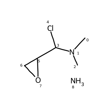 CN(C)C(Cl)C1CO1.N